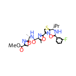 COC(=O)c1coc([C@H](C)NC(=O)c2nc(-c3csc([C@@H](NC(=O)c4cccc(F)c4)C(C)C)n3)oc2C)n1